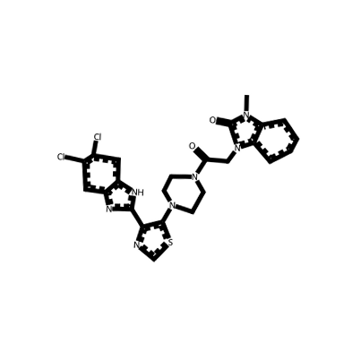 Cn1c(=O)n(CC(=O)N2CCN(c3scnc3-c3nc4cc(Cl)c(Cl)cc4[nH]3)CC2)c2ccccc21